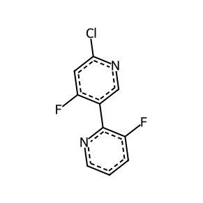 Fc1cc(Cl)ncc1-c1ncccc1F